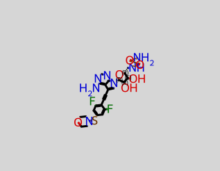 Nc1ncnc2c1c(C#Cc1c(F)cc(SN3CCOCC3)cc1F)cn2[C@@H]1O[C@H](CNS(N)(=O)=O)[C@@H](O)[C@H]1O